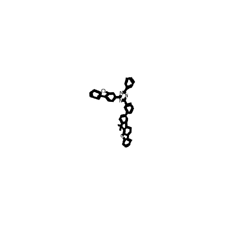 CC1(C)c2ccc(-c3cccc(-c4nc(-c5ccccc5)nc(-c5ccc6c(c5)oc5ccccc56)n4)c3)cc2-c2ccc3c(oc4ccccc43)c21